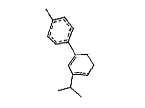 Cc1ccc(C2=CC(C(C)C)=CC[CH]2)cc1